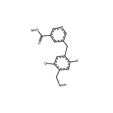 COC(=O)c1cncc(Cc2cc(Cl)c(CNC(C)=O)cc2F)c1